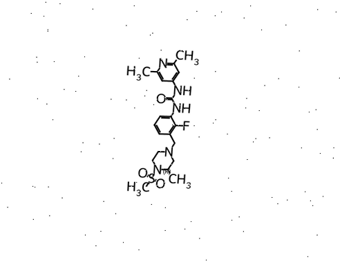 Cc1cc(NC(=O)Nc2cccc(CN3CCN(S(C)(=O)=O)[C@H](C)C3)c2F)cc(C)n1